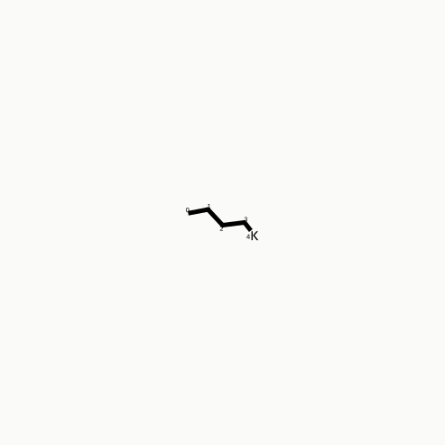 CCC[CH2][K]